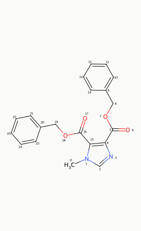 Cn1cnc(C(=O)OCc2ccccc2)c1C(=O)OCc1ccccc1